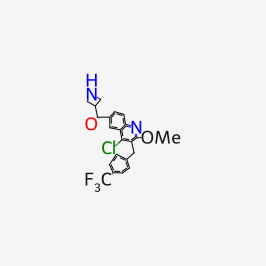 COc1nc2ccc(C(=O)C3CNC3)cc2c(Cl)c1Cc1ccc(C(F)(F)F)cc1